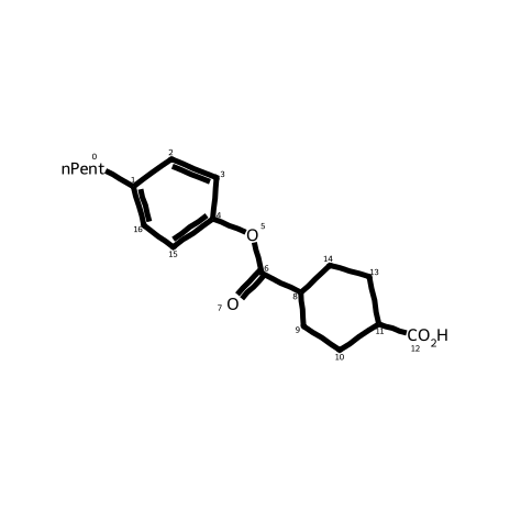 CCCCCc1ccc(OC(=O)C2CCC(C(=O)O)CC2)cc1